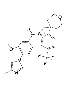 COc1cc(C(=O)NCC2(c3ccc(C(F)(F)F)cc3)CCOCC2)ccc1-n1cnc(C)c1